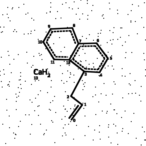 C=CCc1cccc2ccccc12.[CaH2]